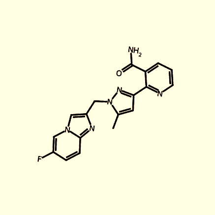 Cc1cc(-c2ncccc2C(N)=O)nn1Cc1cn2cc(F)ccc2n1